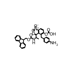 CC(NC(=O)OCC1c2ccccc2-c2ccccc21)C(=O)c1c([N+](=O)[O-])ccc(OC(=O)O)c1Cc1ccc(N)cc1